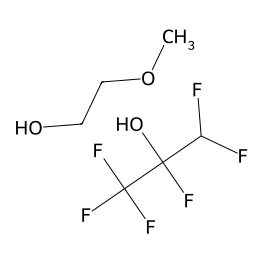 COCCO.OC(F)(C(F)F)C(F)(F)F